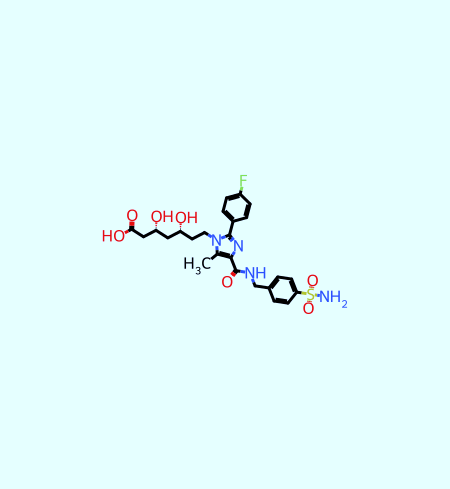 Cc1c(C(=O)NCc2ccc(S(N)(=O)=O)cc2)nc(-c2ccc(F)cc2)n1CC[C@@H](O)C[C@@H](O)CC(=O)O